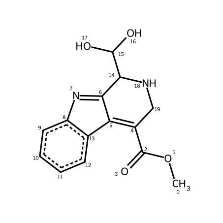 COC(=O)C1=C2C(=Nc3ccccc32)C(C(O)O)NC1